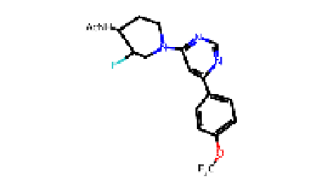 CC(=O)NC1CCN(c2cc(-c3ccc(OC(F)(F)F)cc3)ncn2)CC1F